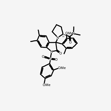 COc1ccc(S(=O)(=O)N2C(=O)C(c3c(C)cccc3OC)(N3CCC[C@H]3C(=O)N(C)C)c3cc(C)c(C)cc32)c(OC)c1